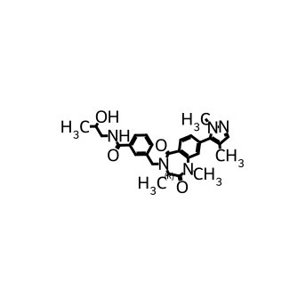 Cc1cnn(C)c1-c1ccc2c(c1)N(C)C(=O)[C@@H](C)N(Cc1cccc(C(=O)NCC(C)O)c1)C2=O